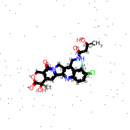 CC[C@@]1(O)C(=O)OCc2c1cc1n(c2=O)Cc2c-1nc1ccc(Cl)c(F)c1c2CNC(=O)C[C@H](C)O